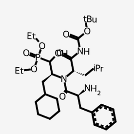 CCOP(=O)(OCC)C(O)[C@H](CC1CCCCC1)N(C(=O)[C@@H](N)Cc1ccccc1)[C@@H](CC(C)C)C(=O)NC(=O)OC(C)(C)C